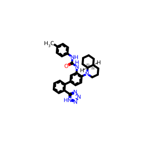 Cc1ccc(NC(=O)Nc2cc(-c3ccccc3-c3nnn[nH]3)ccc2N2CCC[C@@H]3CCCC[C@@H]32)cc1